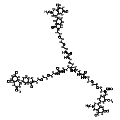 Cc1cc(C2CN(C)Cc3c(Cl)cc(Cl)cc32)ccc1CN(C=O)CCOCCOCCNC(=O)NCCCC(N)(CCCNC(=O)NCCOCCOCCN1Cc2ccc(C3CN(C)Cc4c(Cl)cc(Cl)cc43)cc2C1=O)CCCNC(=O)NCCOCCOCCN1Cc2ccc(C3CN(C)Cc4c(Cl)cc(Cl)cc43)cc2C1=O